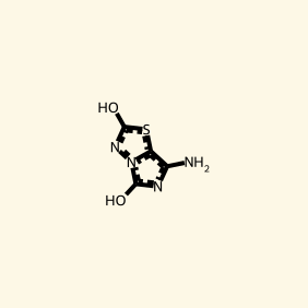 Nc1nc(O)n2nc(O)sc12